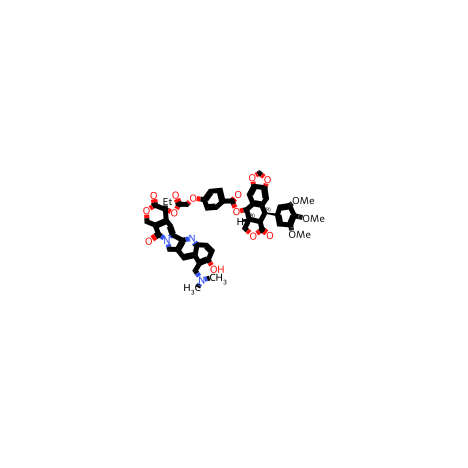 CCC1(OC(=O)COc2ccc(C(=O)OC3c4cc5c(cc4[C@@H](c4cc(OC)c(OC)c(OC)c4)C4C(=O)OC[C@H]34)OCO5)cc2)C(=O)OCc2c1cc1n(c2=O)Cc2cc3c(CN(C)C)c(O)ccc3nc2-1